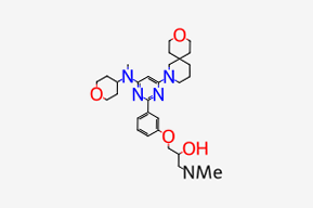 CNCC(O)COc1cccc(-c2nc(N3CCCC4(CCOCC4)C3)cc(N(C)C3CCOCC3)n2)c1